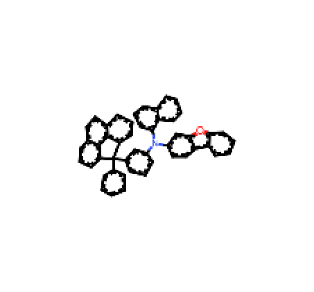 c1ccc(C2(c3cccc(N(c4ccc5c(c4)oc4ccccc45)c4cccc5ccccc45)c3)c3cccc4ccc5cccc2c5c34)cc1